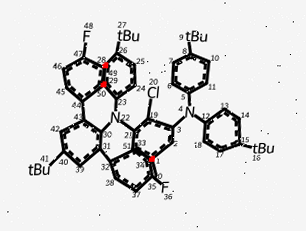 Cc1cc(N(c2ccc(C(C)(C)C)cc2)c2ccc(C(C)(C)C)cc2)c(Cl)c(N(c2ccc(C(C)(C)C)cc2)c2c(-c3ccc(F)cc3)cc(C(C)(C)C)cc2-c2ccc(F)cc2)c1